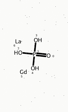 O=P(O)(O)O.[Gd].[La]